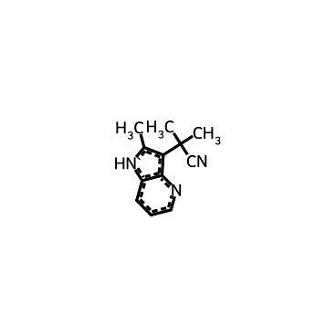 Cc1[nH]c2cccnc2c1C(C)(C)C#N